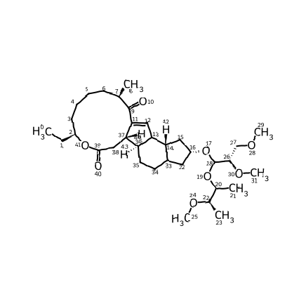 CC[C@H]1CCCC[C@@H](C)C(=O)C2=CC3[C@@H]4C[C@H](OC(OC(C)[C@@H](C)OC)[C@H](COC)OC)CC4CC[C@H]3[C@@H]2CC(=O)O1